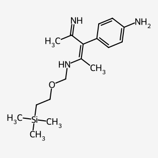 CC(=N)/C(=C(/C)NCOCC[Si](C)(C)C)c1ccc(N)cc1